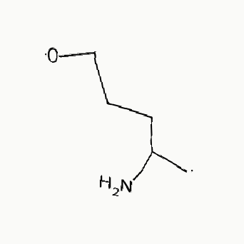 [CH2]C(N)CCC[O]